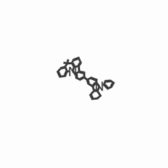 CC1(C)c2ccccc2-n2c3ccc(-c4ccc5c(c4)c4c(n5-c5ccccc5)CCC=C4)cc3c3cccc1c32